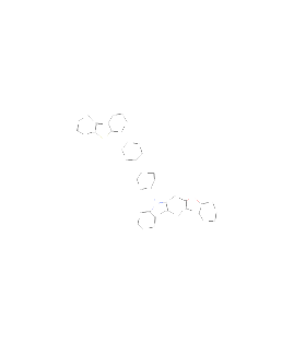 c1ccc2c(c1)oc1cc3c(cc12)c1ccccc1n3-c1ccc(-c2ccc(-c3cccc4c3sc3ccccc34)cc2)cc1